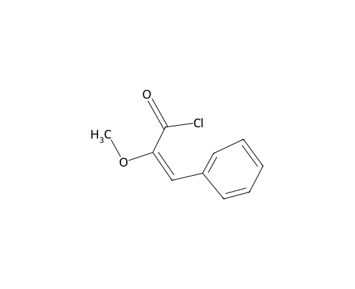 CO/C(=C/c1ccccc1)C(=O)Cl